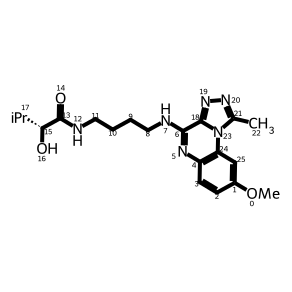 COc1ccc2nc(NCCCCNC(=O)[C@H](O)C(C)C)c3nnc(C)n3c2c1